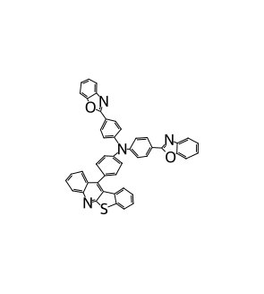 c1ccc2oc(-c3ccc(N(c4ccc(-c5nc6ccccc6o5)cc4)c4ccc(-c5c6ccccc6nc6sc7ccccc7c56)cc4)cc3)nc2c1